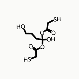 O=C(CS)OC(O)(CCCO)OC(=O)CS